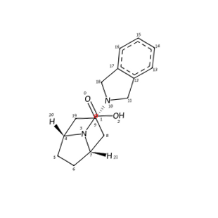 O=C(O)N1[C@@H]2CC[C@H]1C[C@@H](N1Cc3ccccc3C1)C2